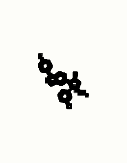 N[C@@H]1CC(=O)N(c2ccc3c(cnn3-c3ccc(F)cc3)c2)[C@H]1c1cccc(Cl)c1